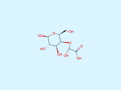 O=C(O)C(O)O[C@H]1[C@@H](O)[C@H](O)[C@@H](O)O[C@H]1CO